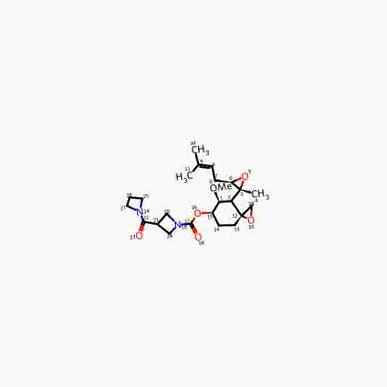 CO[C@H]1C([C@@]2(C)O[C@@H]2CC=C(C)C)[C@]2(CC[C@H]1OC(=O)N1CC(C(=O)N3CCC3)C1)CO2